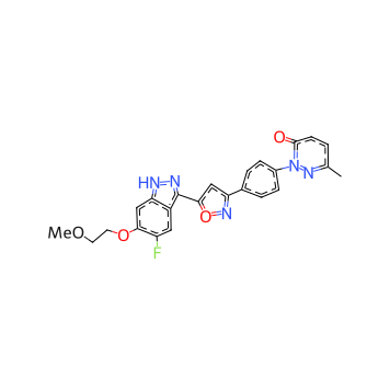 COCCOc1cc2[nH]nc(-c3cc(-c4ccc(-n5nc(C)ccc5=O)cc4)no3)c2cc1F